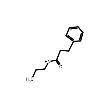 CCCNC(=O)CCc1ccccc1